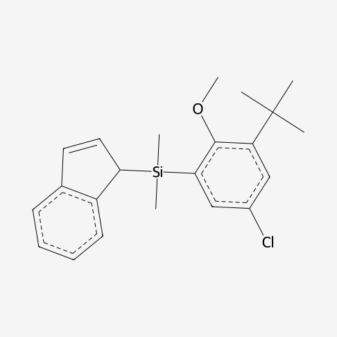 COc1c(C(C)(C)C)cc(Cl)cc1[Si](C)(C)C1C=Cc2ccccc21